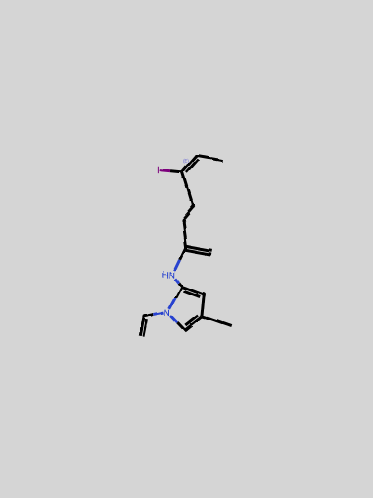 C=Cn1cc(C)cc1NC(=C)CC/C(I)=C\C